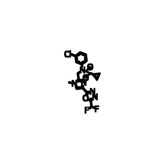 Cn1cc(-c2nnc(C(F)F)o2)nc1CN(c1cccc(Cl)c1)S(=O)(=O)C1CC1